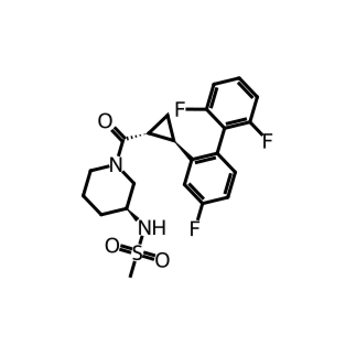 CS(=O)(=O)N[C@H]1CCCN(C(=O)[C@@H]2C[C@H]2c2cc(F)ccc2-c2c(F)cccc2F)C1